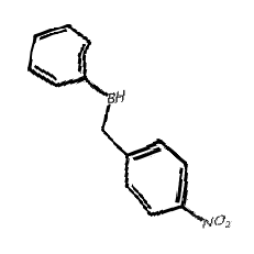 O=[N+]([O-])c1ccc(CBc2ccccc2)cc1